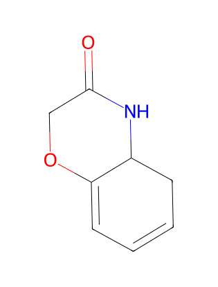 O=C1COC2=CC=CCC2N1